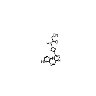 N#CCC(=O)N[C@H]1C[C@@H](c2nnc3cnc4[nH]ccc4n32)C1